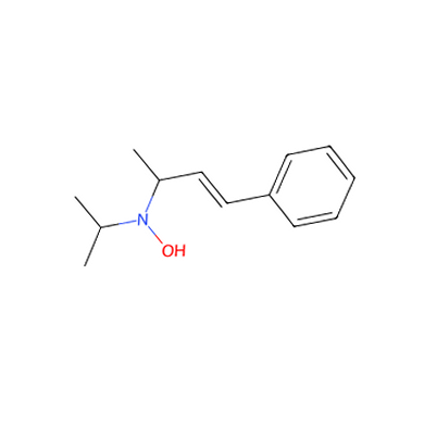 CC(C)N(O)C(C)C=Cc1ccccc1